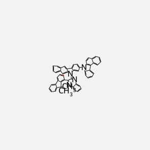 CC1(C)c2ccccc2-c2cccc(-c3nc4ccccc4nc3-n3c4cc(-n5c6ccccc6c6c7ccccc7ccc65)ccc4c4cc5ccccc5cc43)c21